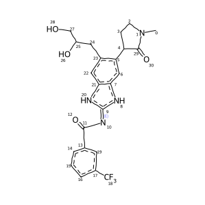 CN1CCC(c2cc3[nH]/c(=N/C(=O)c4cccc(C(F)(F)F)c4)[nH]c3cc2CC(O)CO)C1=O